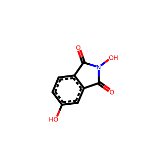 O=C1c2ccc(O)cc2C(=O)N1O